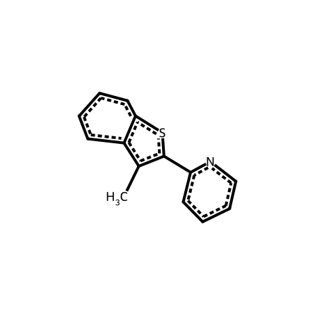 Cc1c(-c2ccccn2)sc2ccccc12